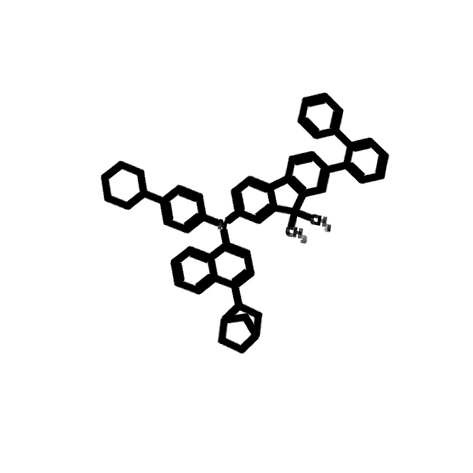 CC1(C)c2cc(-c3ccccc3-c3ccccc3)ccc2-c2ccc(N(c3ccc(C4CCCCC4)cc3)c3ccc(C4CC5CCC4C5)c4ccccc34)cc21